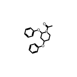 CC(=O)N1CCC(Oc2ccccc2)CC1Oc1ccccc1